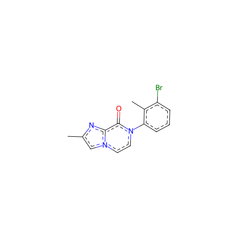 Cc1cn2ccn(-c3cccc(Br)c3C)c(=O)c2n1